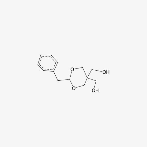 OCC1(CO)COC(Cc2ccccc2)OC1